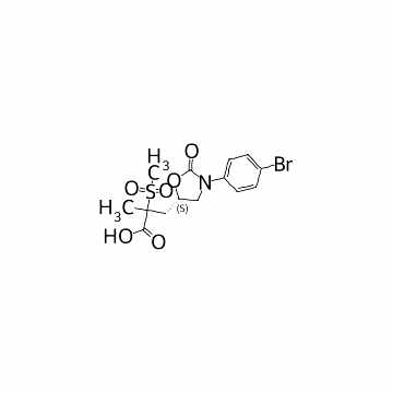 CC(C[C@H]1CN(c2ccc(Br)cc2)C(=O)O1)(C(=O)O)S(C)(=O)=O